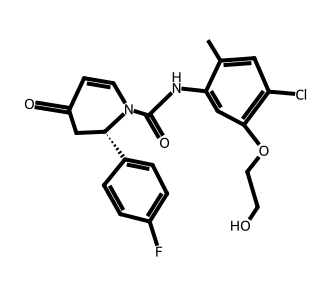 Cc1cc(Cl)c(OCCO)cc1NC(=O)N1C=CC(=O)C[C@H]1c1ccc(F)cc1